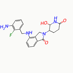 Nc1cccc(CNc2cccc3c2CN(C2CCC(=O)NC2O)C3=O)c1F